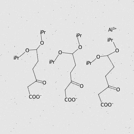 CC(C)OC(CCC(=O)CC(=O)[O-])OC(C)C.CC(C)OC(CCC(=O)CC(=O)[O-])OC(C)C.CC(C)OC(CCC(=O)CC(=O)[O-])OC(C)C.[Al+3]